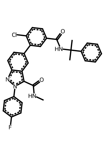 CNC(=O)c1c2cc(-c3cc(C(=O)NC(C)(C)c4ccccc4)ccc3Cl)ccc2nn1-c1ccc(F)cc1